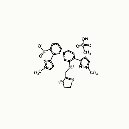 CS(=O)(=O)O.Cn1ccc(-c2ccccc2NCC2=NCCN2)n1.Cn1ccc(-c2ccccc2[N+](=O)[O-])n1